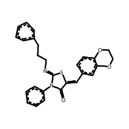 O=C1/C(=C/c2ccc3c(c2)OCCO3)S/C(=N\CCCc2ccccc2)N1c1ccccc1